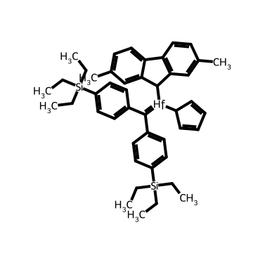 CC[Si](CC)(CC)c1ccc([C](c2ccc([Si](CC)(CC)CC)cc2)=[Hf]([CH]2C=CC=C2)[CH]2c3cc(C)ccc3-c3ccc(C)cc32)cc1